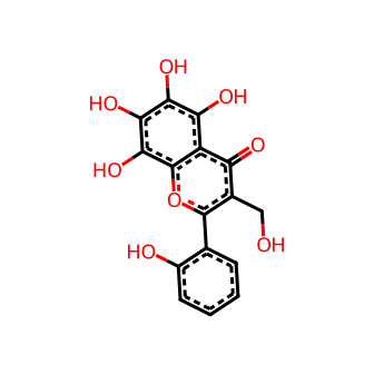 O=c1c(CO)c(-c2ccccc2O)oc2c(O)c(O)c(O)c(O)c12